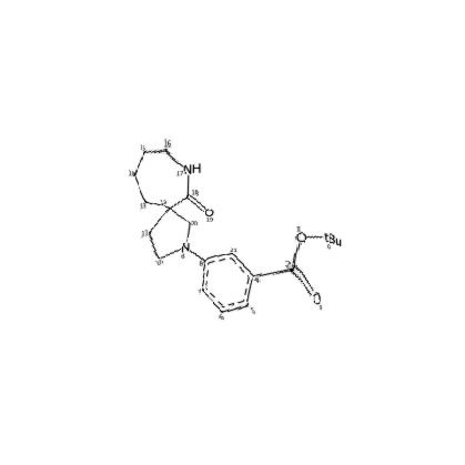 CC(C)(C)OC(=O)c1cccc(N2CCC3(CCCCNC3=O)C2)c1